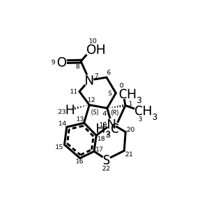 CC(C)(C)[C@@]12CCN(C(=O)O)C[C@@H]1c1cccc3c1N2CCS3